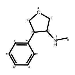 CNC1COCC1c1ccccc1